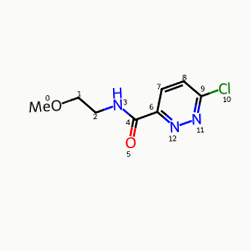 COCCNC(=O)c1ccc(Cl)nn1